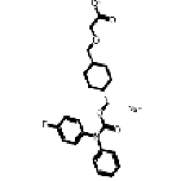 O=C([O-])COC[C@H]1CC[C@H](COC(=O)N(c2ccccc2)c2ccc(F)cc2)CC1.[Na+]